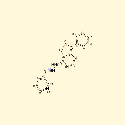 C(=N\Nc1ncnc2c1cnn2-c1ccccn1)/c1cccnc1